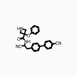 N#Cc1ccc(-c2ccc(CC(C#N)NC(=O)C3(Oc4ccccc4)CNC3)cc2)cc1